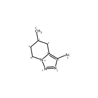 CC(=O)c1nnn2c1CC(C)CC2